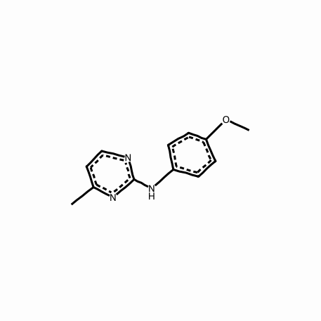 COc1ccc(Nc2nccc(C)n2)cc1